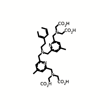 C/C=C\C(=C/C)CCN(Cc1cc(C)cc(CN(CC(=O)O)CC(=O)O)n1)Cc1cc(C)cc(CN(CC(=O)O)CC(=O)O)n1